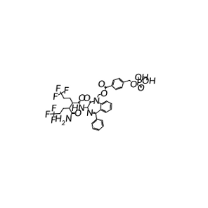 NC(=O)C(CCC(F)(F)F)C(CCC(F)(F)F)C(=O)NC1N=C(c2ccccc2)c2ccccc2N(COC(=O)c2ccc(COP(=O)(O)O)cc2)C1=O